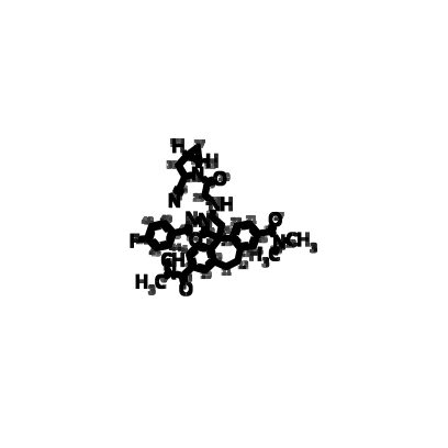 CN(C)C(=O)c1ccc2c(c1)CCc1cc(C(=O)N(C)C)ccc1C2(CCNCC(=O)N1C(C#N)C[C@@H]2C[C@@H]21)c1nnc(-c2ccc(F)cc2)o1